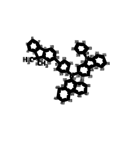 CC1(C)c2ccccc2-c2ccc(-c3ccc(N(c4ccc5c6ccccc6n(-c6ccccc6)c5c4)c4cc5ccccc5c5ccccc45)cc3)cc21